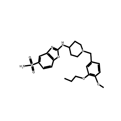 CCCOc1cc(CN2CCC(Nc3nc4cc(S(N)(=O)=O)ccc4o3)CC2)ccc1OC